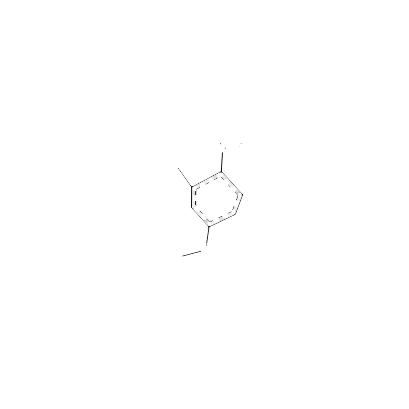 CC(=O)Nc1ccc(SC(Cl)(Cl)Cl)cc1F